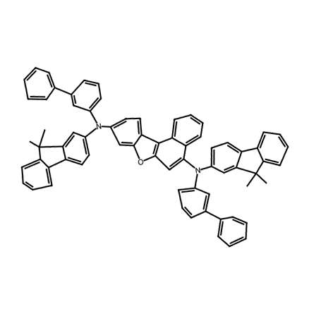 CC1(C)c2ccccc2-c2ccc(N(c3cccc(-c4ccccc4)c3)c3ccc4c(c3)oc3cc(N(c5cccc(-c6ccccc6)c5)c5ccc6c(c5)C(C)(C)c5ccccc5-6)c5ccccc5c34)cc21